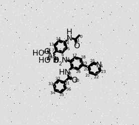 CC(=O)Nc1ccc([As](=O)(O)OO)cc1.Nc1ccc(-c2cccnc2)cc1NC(=O)c1ccccc1